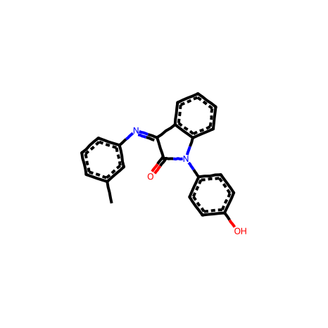 Cc1cccc(N=C2C(=O)N(c3ccc(O)cc3)c3ccccc32)c1